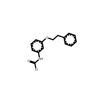 CCC(=O)Nc1cccc(OCCc2ccccc2)c1